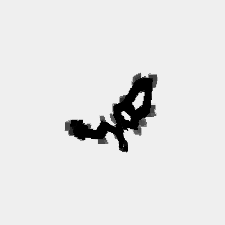 N#CCCC(=O)N1CC2CCCC2C1